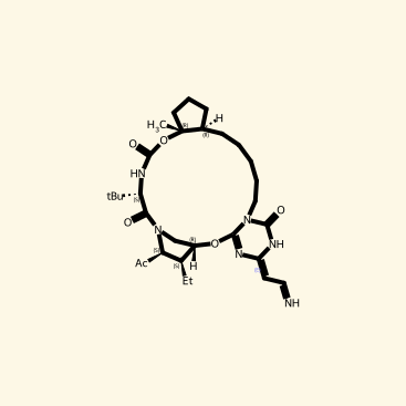 CC[C@@H]1[C@@H]2CN(C(=O)[C@H](C(C)(C)C)NC(=O)O[C@]3(C)CCC[C@H]3CCCCCN3C(=O)N/C(=C\C=N)N=C3O2)[C@@H]1C(C)=O